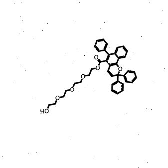 O=C(OCCOCCOCCOCCO)c1c2c(c3ccccc3c1-c1ccccc1)OC(c1ccccc1)(c1ccccc1)C=C2